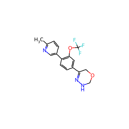 Cc1ccc(-c2ccc(C3=NNCOC3)cc2OC(F)(F)F)cn1